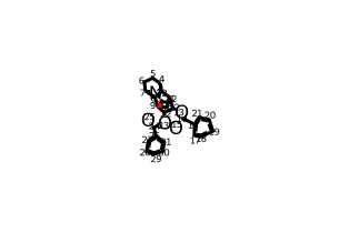 CC(C)N1C2CCC1C1C3CC(C(OC(=O)c4ccccc4)C3OC(=O)c3ccccc3)C12